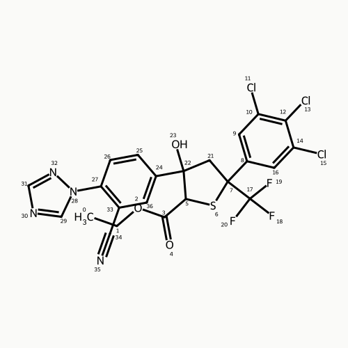 CCOC(=O)C1SC(c2cc(Cl)c(Cl)c(Cl)c2)(C(F)(F)F)CC1(O)c1ccc(-n2cncn2)c(C#N)c1